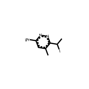 Cc1cc(C(C)C)nnc1C(C)I